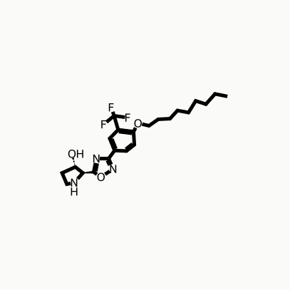 CCCCCCCCCOc1ccc(-c2noc([C@H]3NCC[C@@H]3O)n2)cc1C(F)(F)F